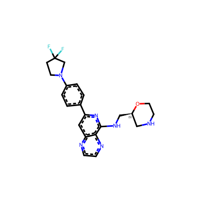 FC1(F)CCN(c2ccc(-c3cc4nccnc4c(NC[C@@H]4CNCCO4)n3)cc2)C1